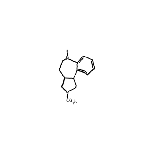 CN1CCC2CN(C(=O)O)CC2c2ccccc21